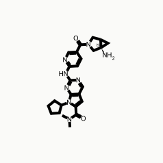 CN(C)C(=O)c1cc2cnc(Nc3ccc(C(=O)N4CC5C[C@@]5(N)C4)cn3)nc2n1C1CCCC1